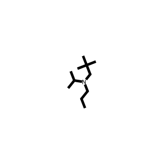 CCCN(CC(C)(C)C)C(C)C